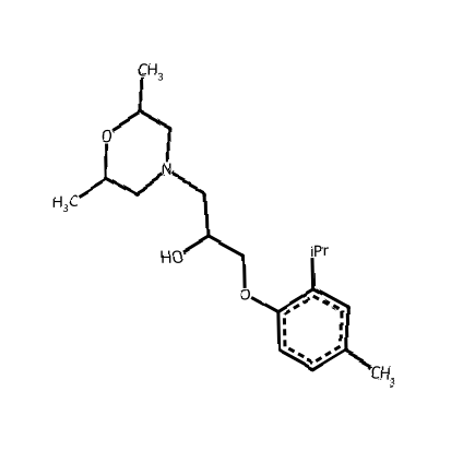 Cc1ccc(OCC(O)CN2CC(C)OC(C)C2)c(C(C)C)c1